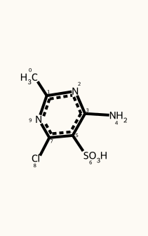 Cc1nc(N)c(S(=O)(=O)O)c(Cl)n1